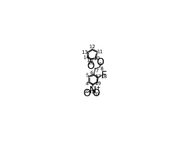 O=[N+]([O-])c1ccc(C2COc3ccccc3O2)c(F)c1